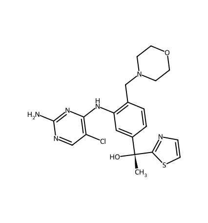 C[C@@](O)(c1ccc(CN2CCOCC2)c(Nc2nc(N)ncc2Cl)c1)c1nccs1